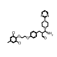 Cc1cc(Cl)c(OCCOc2ccc(CC(C=O)C(N)N3CCN(c4ncccn4)CC3)cc2)c(Cl)c1